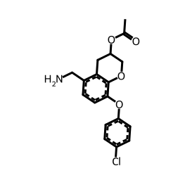 CC(=O)OC1COc2c(Oc3ccc(Cl)cc3)ccc(CN)c2C1